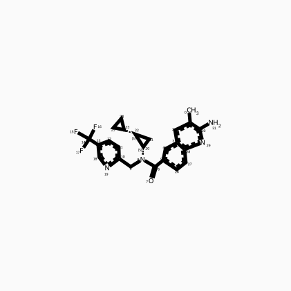 Cc1cc2cc(C(=O)N(Cc3ccc(C(F)(F)F)cn3)[C@H]3C[C@H]3C3CC3)ccc2nc1N